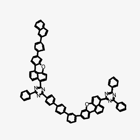 c1ccc(-c2nc(-c3ccc(-c4ccc(-c5cccc(-c6ccc7c(c6)Oc6ccc(-c8nc(-c9ccccc9)nc(-c9ccccc9)n8)c8cccc-7c68)c5)cc4)cc3)nc(-c3ccc4c5c(cccc35)-c3ccc(-c5ccc(-c6ccc7ccccc7c6)cc5)cc3O4)n2)cc1